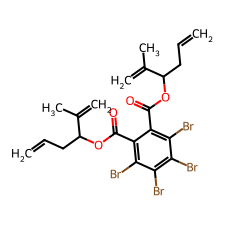 C=CCC(OC(=O)c1c(Br)c(Br)c(Br)c(Br)c1C(=O)OC(CC=C)C(=C)C)C(=C)C